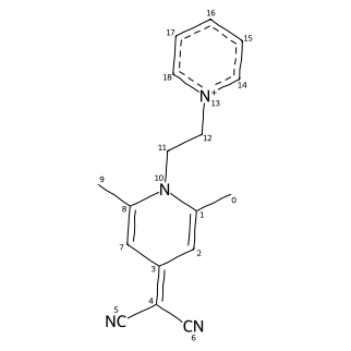 CC1=CC(=C(C#N)C#N)C=C(C)N1CC[n+]1ccccc1